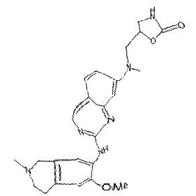 COc1cc2c(cc1Nc1ncc3ccc(N(C)CC4CNC(=O)O4)cc3n1)CN(C)CC2